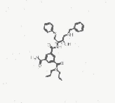 CCCN(CCC)C(=O)c1cc(C(N)=O)cc(C(=O)N[C@@H](CSc2ccccc2)[C@H](O)CNCc2ccccc2)c1